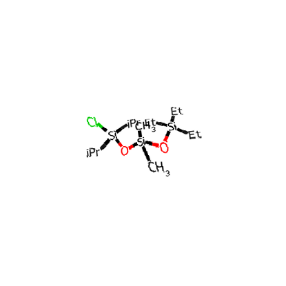 CC[Si](CC)(CC)O[Si](C)(C)O[Si](Cl)(C(C)C)C(C)C